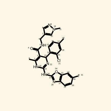 CC1=C(C(=O)NCc2cnn(C)c2)C(c2ccc(C)cc2Cl)N=C(Nc2nc3ccc(F)cc3o2)N1